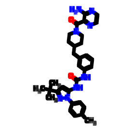 Cc1ccc(-n2nc(C(C)(C)C)cc2NC(=O)Nc2cccc(CC3CCN(C(=O)c4nccnc4N)CC3)c2)cc1